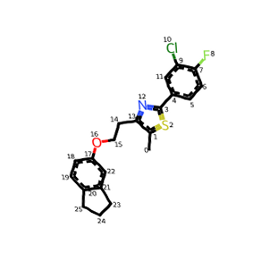 Cc1sc(-c2ccc(F)c(Cl)c2)nc1CCOc1ccc2c(c1)CCC2